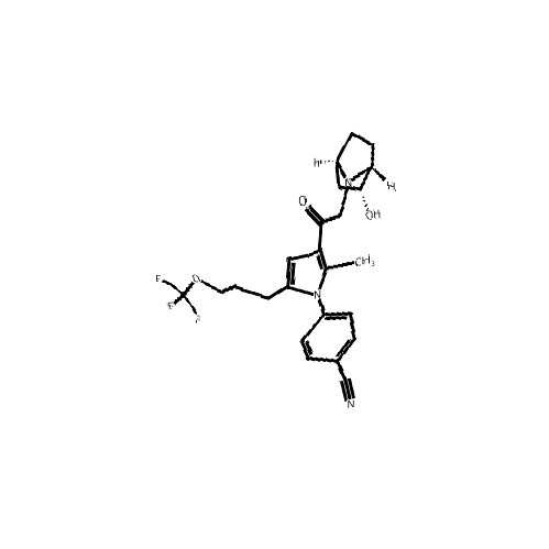 Cc1c(C(=O)CN2[C@@H]3CC[C@@H]2[C@H](O)C3)cc(CCCOC(F)(F)F)n1-c1ccc(C#N)cc1